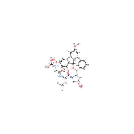 COc1ccc(C(OC[C@@H]2C[C@@H](O)CN2C(=O)C(CC(C)C)NC(=O)CNC(=O)O)(c2ccccc2)c2ccc(OC)cc2)cc1